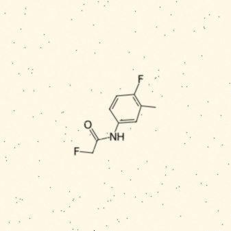 Cc1cc(NC(=O)CF)ccc1F